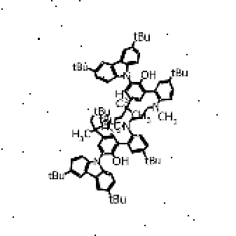 CN(CCCN(C)c1ccc(C(C)(C)C)cc1-c1cc(C(C)(C)CC(C)(C)C)cc(-n2c3ccc(C(C)(C)C)cc3c3cc(C(C)(C)C)ccc32)c1O)c1ccc(C(C)(C)C)cc1-c1cc(C(C)(C)CC(C)(C)C)cc(-n2c3ccc(C(C)(C)C)cc3c3cc(C(C)(C)C)ccc32)c1O